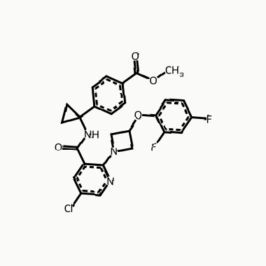 COC(=O)c1ccc(C2(NC(=O)c3cc(Cl)cnc3N3CC(Oc4ccc(F)cc4F)C3)CC2)cc1